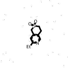 CCc1cc2c(cn1)CCS(=O)(=O)C2